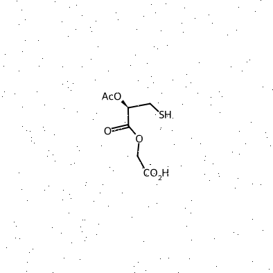 CC(=O)O[C@@H](CS)C(=O)OCC(=O)O